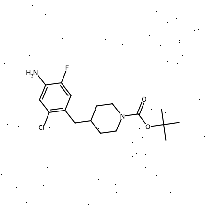 CC(C)(C)OC(=O)N1CCC(Cc2cc(F)c(N)cc2Cl)CC1